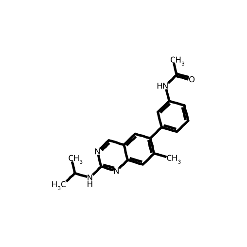 CC(=O)Nc1cccc(-c2cc3cnc(NC(C)C)nc3cc2C)c1